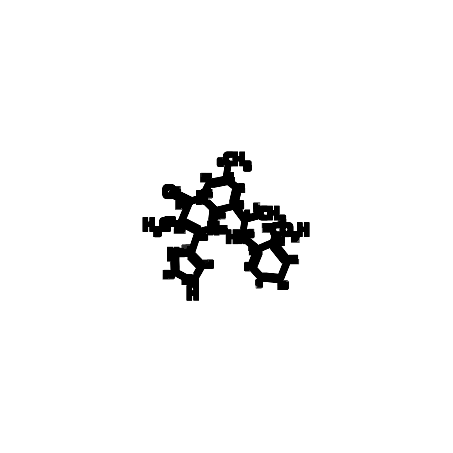 Cc1cc([C@@H](C)Nc2ccccc2C(=O)O)c2nc(-c3c[nH]cn3)c(C)c(=O)n2c1